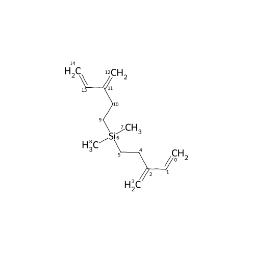 C=CC(=C)CC[Si](C)(C)CCC(=C)C=C